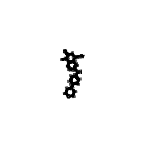 CCCN1CC(=O)N(C)c2cnc(Nc3ccc(N4CCOCC4)cc3)nc21